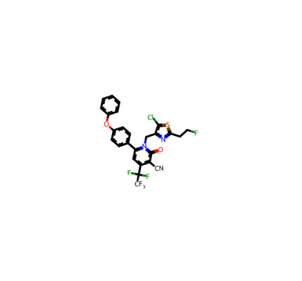 N#Cc1c(C(F)(F)C(F)(F)F)cc(-c2ccc(Oc3ccccc3)cc2)n(Cc2nc(CCF)sc2Cl)c1=O